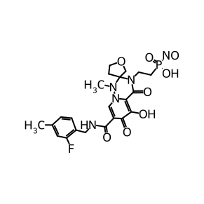 Cc1ccc(CNC(=O)c2cn3c(c(O)c2=O)C(=O)N(CCP(=O)(O)N=O)C2(CCOC2)N3C)c(F)c1